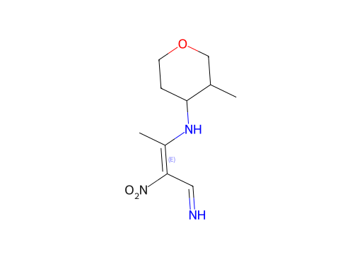 C/C(NC1CCOCC1C)=C(/C=N)[N+](=O)[O-]